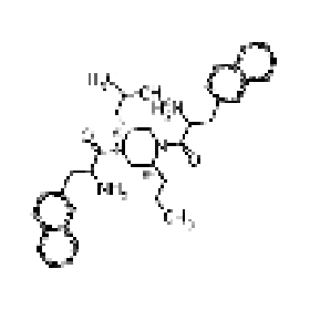 CCC[C@H]1CN(C(=O)C(N)Cc2ccc3ccccc3c2)[C@H](CC(C)C)CN1C(=O)C(N)Cc1ccc2ccccc2c1